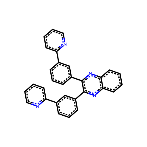 c1ccc(-c2cccc(-c3nc4ccccc4nc3-c3cccc(-c4ccccn4)c3)c2)nc1